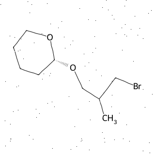 CC(CBr)CO[C@@H]1CCCCO1